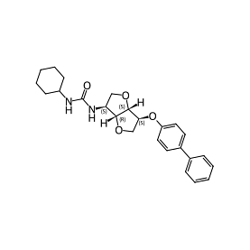 O=C(NC1CCCCC1)N[C@H]1CO[C@H]2[C@@H]1OC[C@@H]2Oc1ccc(-c2ccccc2)cc1